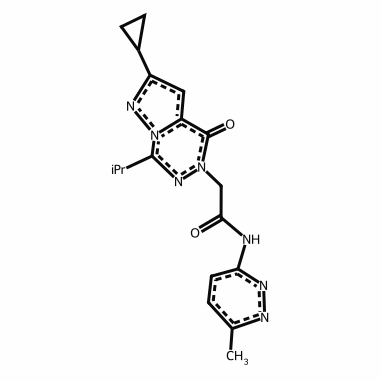 Cc1ccc(NC(=O)Cn2nc(C(C)C)n3nc(C4CC4)cc3c2=O)nn1